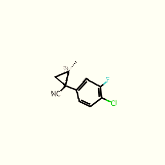 C[C@H]1CC1(C#N)c1ccc(Cl)c(F)c1